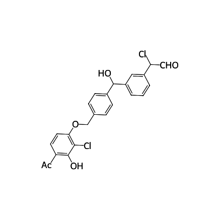 CC(=O)c1ccc(OCc2ccc(C(O)c3cccc(C(Cl)C=O)c3)cc2)c(Cl)c1O